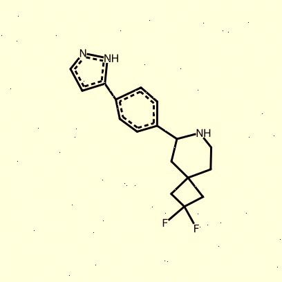 FC1(F)CC2(CCNC(c3ccc(-c4ccn[nH]4)cc3)C2)C1